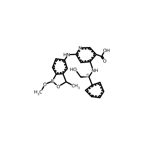 COB1OC(C)c2cc(Nc3cc(N[C@H](CO)c4ccccc4)c(C(=O)O)cn3)ccc21